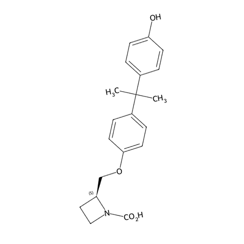 CC(C)(c1ccc(O)cc1)c1ccc(OC[C@@H]2CCN2C(=O)O)cc1